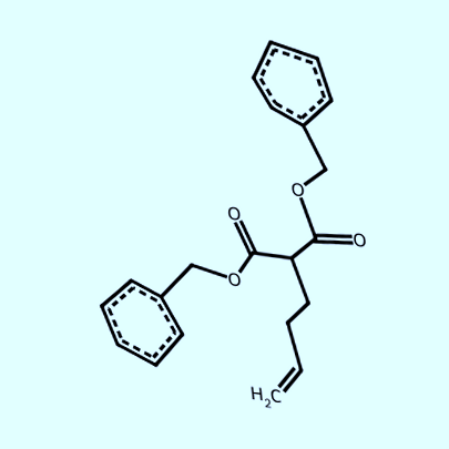 C=CCCC(C(=O)OCc1ccccc1)C(=O)OCc1ccccc1